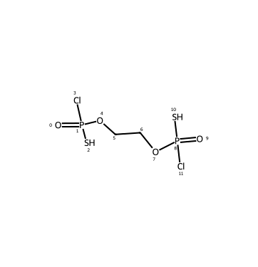 O=P(S)(Cl)OCCOP(=O)(S)Cl